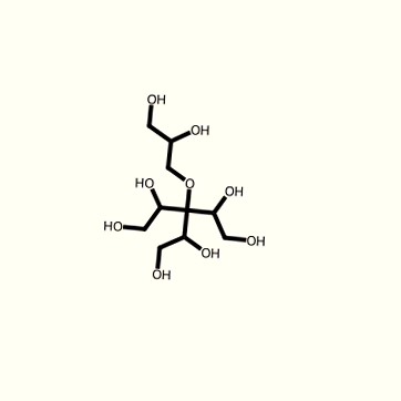 OCC(O)COC(C(O)CO)(C(O)CO)C(O)CO